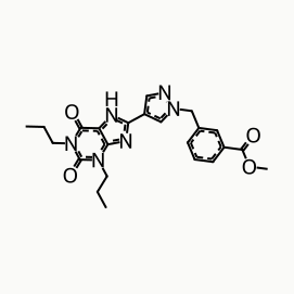 CCCn1c(=O)c2[nH]c(-c3cnn(Cc4cccc(C(=O)OC)c4)c3)nc2n(CCC)c1=O